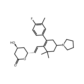 Cc1cc(C2=C(C=C[C@H]3C[C@H](O)CC(=O)O3)C(C)(C)CC(N3CCCC3)C2)ccc1F